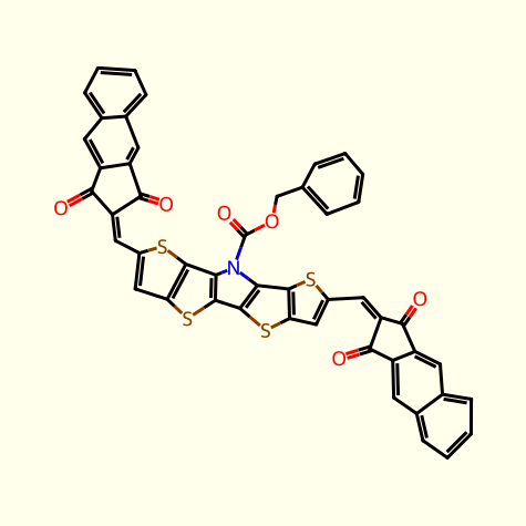 O=C1C(=Cc2cc3sc4c5sc6cc(C=C7C(=O)c8cc9ccccc9cc8C7=O)sc6c5n(C(=O)OCc5ccccc5)c4c3s2)C(=O)c2cc3ccccc3cc21